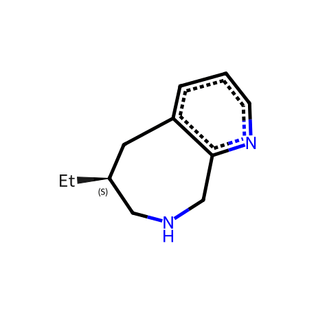 CC[C@@H]1CNCc2ncccc2C1